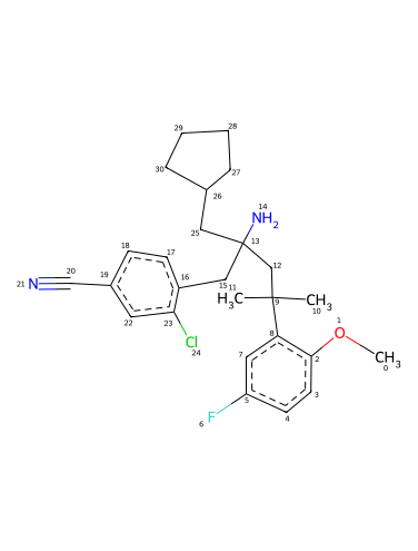 COc1ccc(F)cc1C(C)(C)CC(N)(Cc1ccc(C#N)cc1Cl)CC1CCCC1